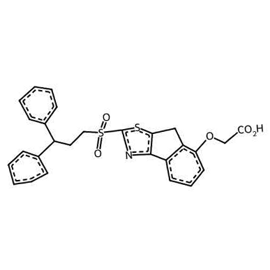 O=C(O)COc1cccc2c1Cc1sc(S(=O)(=O)CCC(c3ccccc3)c3ccccc3)nc1-2